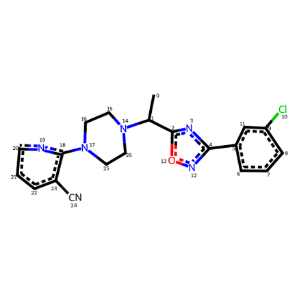 CC(c1nc(-c2cccc(Cl)c2)no1)N1CCN(c2ncccc2C#N)CC1